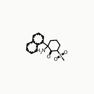 CS(=O)(=O)C1CCCC(N)(c2cccc3ccccc23)C1=O